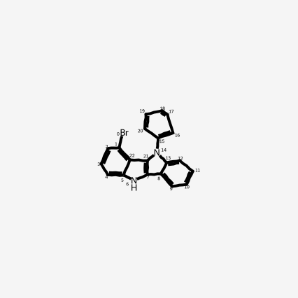 Brc1cccc2[nH]c3c4ccccc4n(-c4ccccc4)c3c12